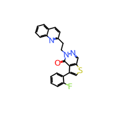 O=c1c2c(-c3ccccc3F)csc2cnn1CCc1ccc2ccccc2n1